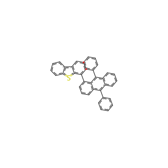 c1ccc(-c2c3ccccc3c(-c3ccccc3)c3c(-c4cccc5c4sc4ccccc45)cccc23)cc1